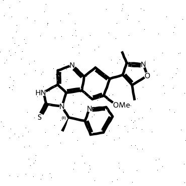 COc1cc2c(cc1-c1c(C)noc1C)ncc1[nH]c(=S)n([C@H](C)c3ccccn3)c12